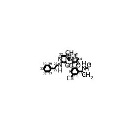 C=C(NC=O)c1cc(Cl)ccc1OC(CC)C(=O)Nn1c(C)cnc(NCCc2ccccc2)c1=O